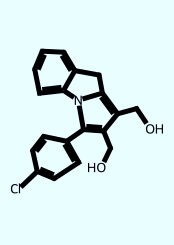 OCc1c(CO)c(-c2ccc(Cl)cc2)n2c1Cc1ccccc1-2